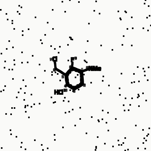 CNc1cccc(CCl)c1F.Cl